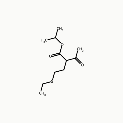 CCSCCC(C(C)=O)C(=O)OC(C)C